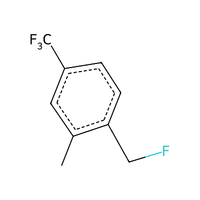 Cc1cc(C(F)(F)F)ccc1CF